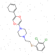 Clc1cccc(SCCN2CCN(C3=COC(C4=CC=CCC4)=CO3)CC2)c1Cl